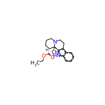 CCOC(=O)[C@@H]1CCCN2CCc3c([nH]c4ccccc34)[C@@]12C